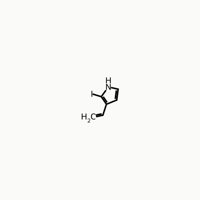 C=Cc1cc[nH]c1I